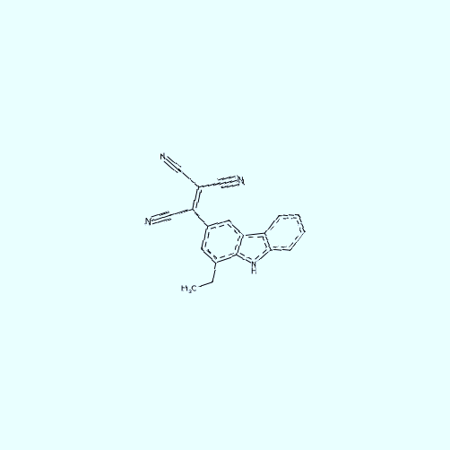 CCc1cc(C(C#N)=C(C#N)C#N)cc2c1[nH]c1ccccc12